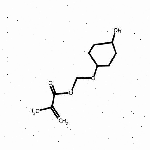 C=C(C)C(=O)OCOC1CCC(O)CC1